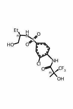 CC[C@H](CO)NS(=O)(=O)c1ccc(NC(=O)[C@@](C)(O)C(F)(F)F)c(Cl)c1